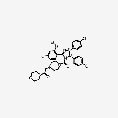 CCOc1cc(C(F)(F)F)ccc1C1=N[C@@H](c2ccc(Cl)cc2)[C@@H](c2ccc(Cl)cc2)N1C(=O)N1CCN(CC(=O)N2CCOCC2)CC1